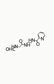 O=CNCC(=O)NCCNC(=O)c1ccccn1